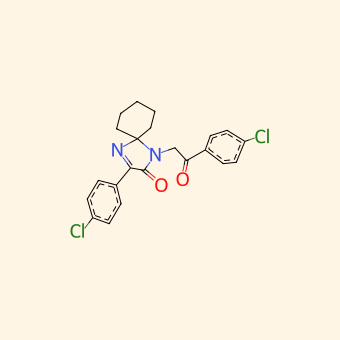 O=C(CN1C(=O)C(c2ccc(Cl)cc2)=NC12CCCCC2)c1ccc(Cl)cc1